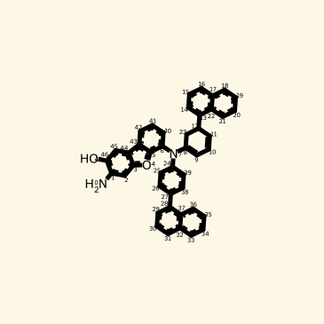 Nc1cc2oc3c(N(C4=CC=CC(c5cccc6ccccc56)C4)c4ccc(-c5cccc6ccccc56)cc4)cccc3c2cc1O